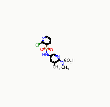 Cc1cc(NS(=O)(=O)c2cccnc2Cl)cnc1N(C)C(=O)O